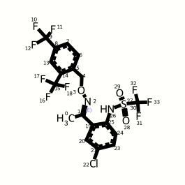 C/C(=N\OCc1ccc(C(F)(F)F)cc1C(F)(F)F)c1cc(Cl)ccc1NS(=O)(=O)C(F)(F)F